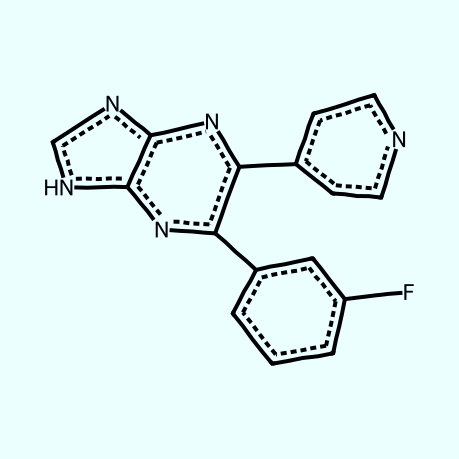 Fc1cccc(-c2nc3[nH]cnc3nc2-c2ccncc2)c1